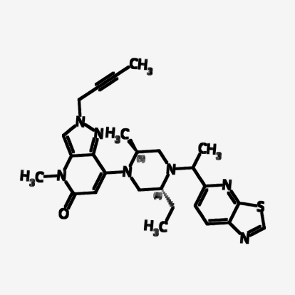 CC#CCn1cc2c(n1)c(N1C[C@@H](CC)N(C(C)c3ccc4ncsc4n3)C[C@@H]1C)cc(=O)n2C